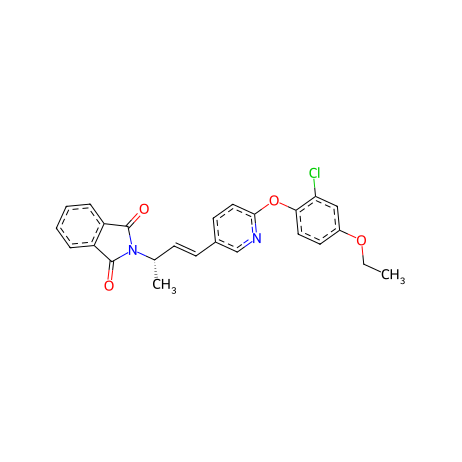 CCOc1ccc(Oc2ccc(/C=C/[C@H](C)N3C(=O)c4ccccc4C3=O)cn2)c(Cl)c1